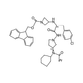 CC(C)C(=O)N(C1CCCCC1)[C@H]1CCN(NC(=O)[C@@H](Cc2ccc(Cl)cc2)NC2CN(C(=O)OCC3c4ccccc4-c4ccccc43)C2)C1